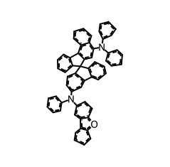 c1ccc(N(c2ccc3c(c2)-c2ccccc2C32c3ccccc3-c3c2cc(N(c2ccccc2)c2ccccc2)c2ccccc32)c2ccc3oc4ccccc4c3c2)cc1